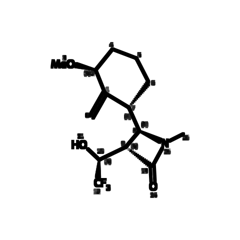 C=C1[C@@H](OC)CCC[C@@H]1[C@@H]1[C@@H]([C@H](O)C(F)(F)F)C(=O)N1C